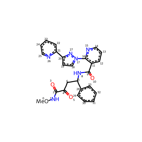 CONC(=O)C(=O)CC(NC(=O)c1cccnc1-n1ccc(-c2ccccn2)n1)c1ccccc1